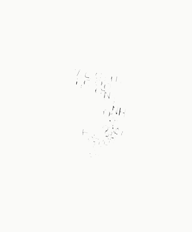 CCOC(=O)C(C)(C)COS(=O)(=O)ON1C(=O)N2C[C@H]1CC[C@H]2C(=O)NC1CCN(C(=O)OC(C)OC(=O)C(C)C)CC1